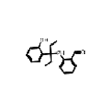 CCC(CC)(Pc1ccccc1C=O)c1ccccc1O